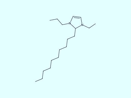 CCCCCCCCCCC1N(CC)C=CN1CCC